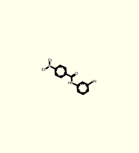 CCN(CC)c1ccc(C(=O)Nc2cccc(C(C)C)c2)cc1